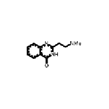 CNCCc1nc2ccccc2c(=O)[nH]1